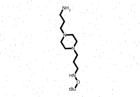 CC(C)(C)ONCCCN1CCN(CCCN)CC1